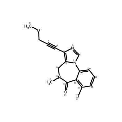 COCC#Cc1ncn2c1CN(C)C(=O)c1c(Cl)cccc1-2